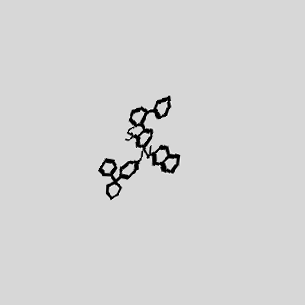 c1ccc(-c2cccc3sc4cc(N(c5ccc(C6(c7ccccc7)CCCCC6)cc5)c5ccc6ccccc6c5)ccc4c23)cc1